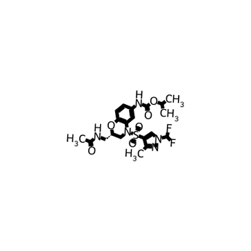 CC(=O)NC[C@H]1CN(S(=O)(=O)c2cn(C(F)F)nc2C)c2cc(NC(=O)OC(C)C)ccc2O1